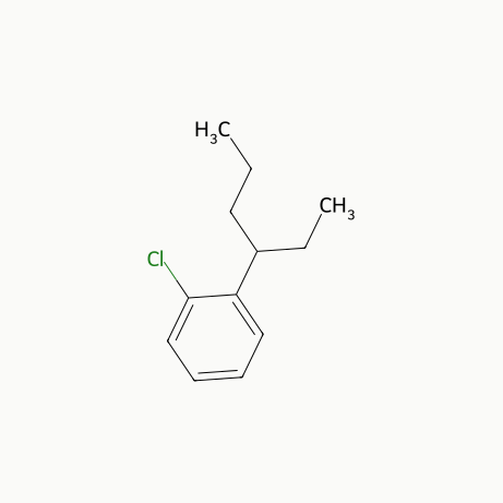 CCCC(CC)c1ccccc1Cl